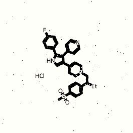 CCC(CN1CC=C(c2c[nH]c(-c3ccc(F)cc3)c2-c2ccncc2)CC1)c1ccc(S(C)(=O)=O)cc1.Cl